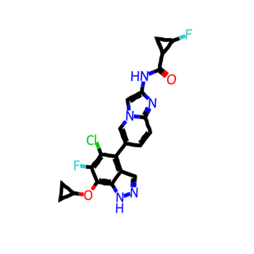 O=C(Nc1cn2cc(-c3c(Cl)c(F)c(OC4CC4)c4[nH]ncc34)ccc2n1)C1CC1F